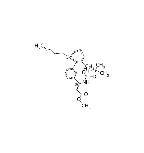 C=CCCCCc1cccc(C)c1-c1cccc([C@H](CC(=O)OC)NC(=O)OC(C)(C)C)c1